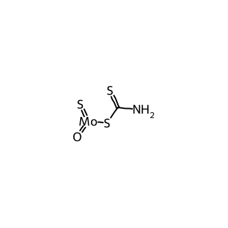 NC(=S)[S][Mo](=[O])=[S]